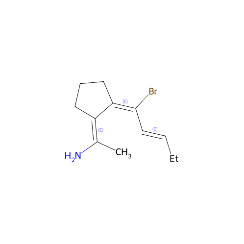 CC/C=C/C(Br)=C1/CCC/C1=C(/C)N